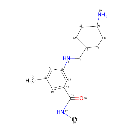 Cc1cc(NCC2CCC(N)CC2)cc(C(=O)NC(C)C)c1